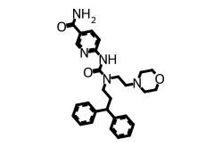 NC(=O)c1ccc(NC(=O)N(CCC(c2ccccc2)c2ccccc2)CCN2CCOCC2)nc1